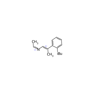 C/C=N\C=C(/C)c1ccccc1C(C)CC